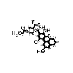 C=CC(=O)N1CCN(/C(S)=C2\C=C(Cl)C(c3cc(O)cc4ccccc34)=C(F)C2=N)C(C(F)F)C1